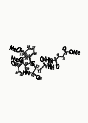 COC(=O)CCC(=O)NNC(=O)C[C@H]1S[C@H](c2cccc(OC)c2OC)c2cc(Cl)ccc2NC1=O